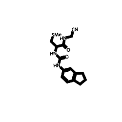 CSCC(NC(=O)Nc1ccc2c(c1)CCC2)C(=O)NCC#N